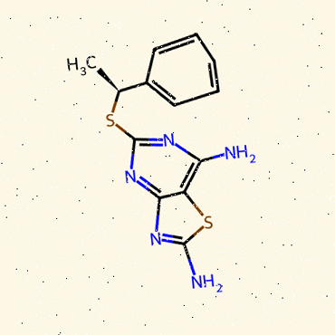 C[C@H](Sc1nc(N)c2sc(N)nc2n1)c1ccccc1